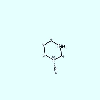 F[C@@H]1CCCNC1